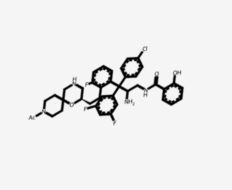 CC(=O)N1CCC2(CC1)CNC[C@@H](CCc1c(F)cccc1C(c1ccc(Cl)cc1)(c1cc(F)cc(F)c1)C(N)CNC(=O)c1ccccc1O)O2